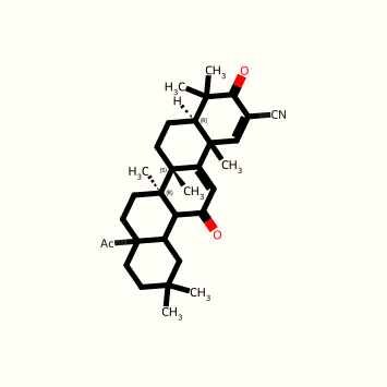 CC(=O)C12CCC(C)(C)CC1C1C(=O)C=C3C4(C)C=C(C#N)C(=O)C(C)(C)[C@@H]4CC[C@@]3(C)[C@]1(C)CC2